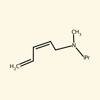 C=C/C=C\CN(C)C(C)C